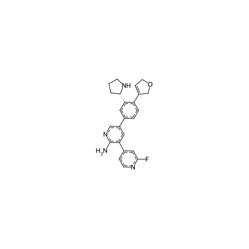 Nc1ncc(-c2ccc(C3=CCOC3)c([C@@H]3CCCN3)c2)cc1-c1ccnc(F)c1